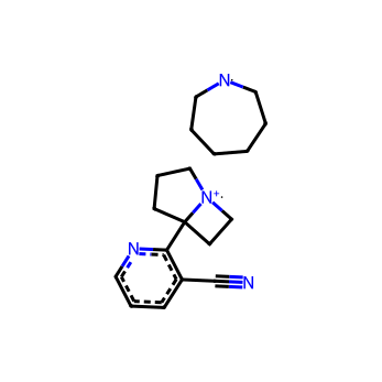 C1CCC[N]CC1.N#Cc1cccnc1C12CCC[N+]1CC2